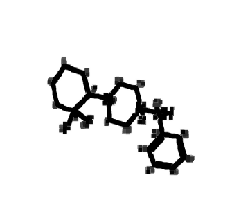 FC1(F)CCCCC1N1CCN(Nc2ccccc2)CC1